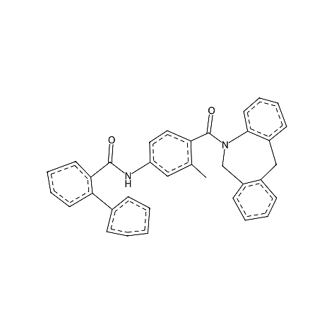 Cc1cc(NC(=O)c2ccccc2-c2ccccc2)ccc1C(=O)N1Cc2ccccc2Cc2ccccc21